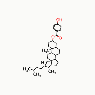 CC(C)CCC[C@@H](C)[C@H]1CCC2C3CCC4CC(OC(=O)c5ccc(O)cc5)CC[C@]4(C)C3CC[C@@]21C